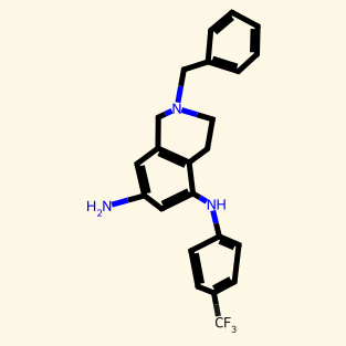 Nc1cc2c(c(Nc3ccc(C(F)(F)F)cc3)c1)CCN(Cc1ccccc1)C2